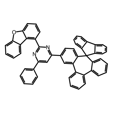 c1ccc(-c2cc(-c3ccc4c(c3)-c3ccccc3-c3ccccc3C43c4ccccc4-c4ccccc43)nc(-c3cccc4oc5ccccc5c34)n2)cc1